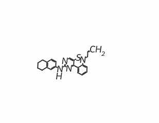 C=CCN1Sc2cnc(Nc3ccc4c(c3)CCCC4)nc2-c2ccccc21